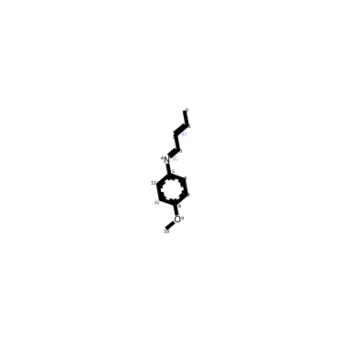 C/C=C/C=N/c1ccc(OC)cc1